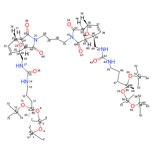 C[Si](C)(C)O[Si](C)(C)O[Si@](C)(CCCNC(=O)NC[C@@]12C=C[C@@H](O1)[C@H]1C(=O)N(CCCCN3C(=O)[C@H]4[C@@H]5C=C[C@@](CNC(=O)NCCC[Si@](C)(O[Si](C)(C)C)O[Si](C)(C)O[Si](C)(C)C)(O5)[C@H]4C3=O)C(=O)[C@H]12)O[Si](C)(C)C